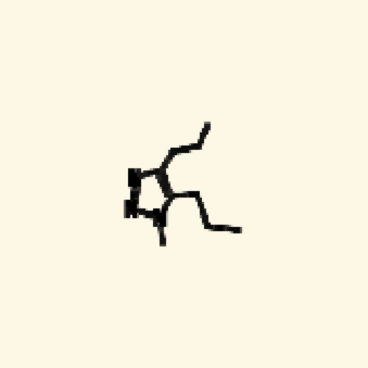 CCCc1nnn(C)c1CCC